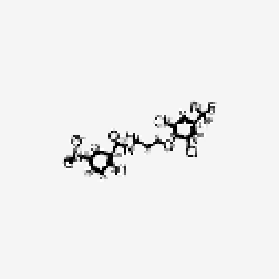 O=C(NCCCOc1c(Cl)cc(C(F)(F)F)cc1Cl)c1cc([N+](=O)[O-])ccc1Cl